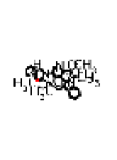 CCn1c(-c2cc(N3CCN4CCC[C@@H]4C3)cnc2[C@H](C)OC)c(CC(C)(C)COC(C)=O)c2ccccc21